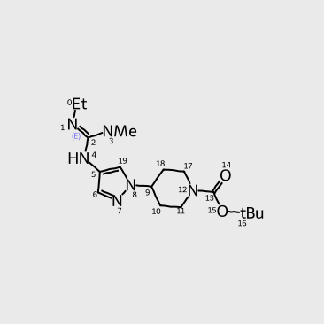 CC/N=C(\NC)Nc1cnn(C2CCN(C(=O)OC(C)(C)C)CC2)c1